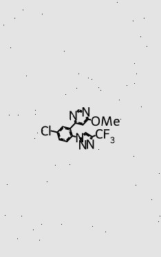 COc1cc(-c2cc(Cl)ccc2-n2cc(C(F)(F)F)nn2)ncn1